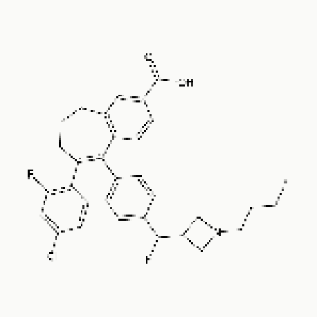 O=C(O)c1ccc2c(c1)CCCC(c1ccc(Cl)cc1F)=C2c1ccc(C(F)C2CN(CCCF)C2)cc1